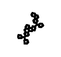 c1ccc(N(c2ccccc2)c2ccc3c(c2)Oc2cccc4c2c-3cc2ccc(N(c3ccccc3)c3ccc5c(ccc6ccccc65)c3)cc24)cc1